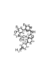 CC(C)N1CCOc2c(F)cc(-c3nc(Nc4cc5cc(C6CCN(C)CC6)ccc5o4)ncc3F)cc21